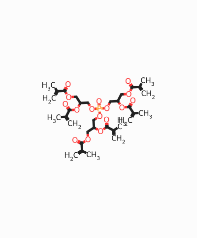 C=C(C)C(=O)OCC(COP(=O)(OCC(COC(=O)C(=C)C)OC(=O)C(=C)C)OCC(COC(=O)C(=C)C)OC(=O)C(=C)C)OC(=O)C(=C)C